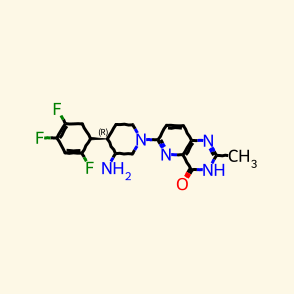 Cc1nc2ccc(N3CC[C@H](C4CC(F)=C(F)C=C4F)C(N)C3)nc2c(=O)[nH]1